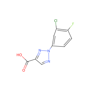 O=C(O)c1cnn(-c2ccc(F)c(Cl)c2)n1